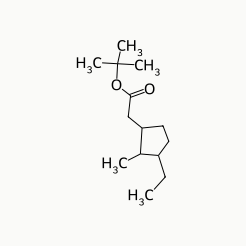 CCC1CCC(CC(=O)OC(C)(C)C)C1C